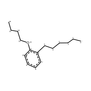 [CH2]CCCCCc1ccccc1OCCCC